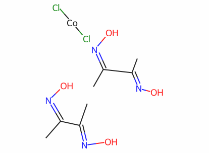 CC(=NO)C(C)=NO.CC(=NO)C(C)=NO.[Cl][Co][Cl]